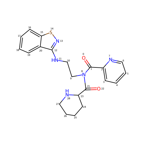 O=C(c1ccccn1)N(CCNc1nsc2ccccc12)C(=O)C1CCCCN1